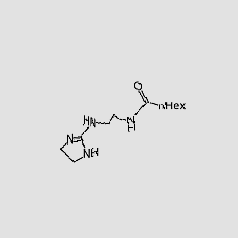 CCCCCCC(=O)NCCNC1=NCCN1